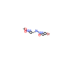 CN(CCCc1ccc(CNC(=O)OC(C)(C)C)cc1)CCNC(=O)c1ccc2cc(Br)ccc2c1